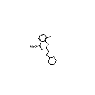 COC(=O)c1cccc(C)c1OCCOC1CCCCO1